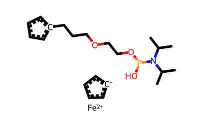 CC(C)N(C(C)C)P(O)OCCOCCC[c-]1cccc1.[Fe+2].c1cc[cH-]c1